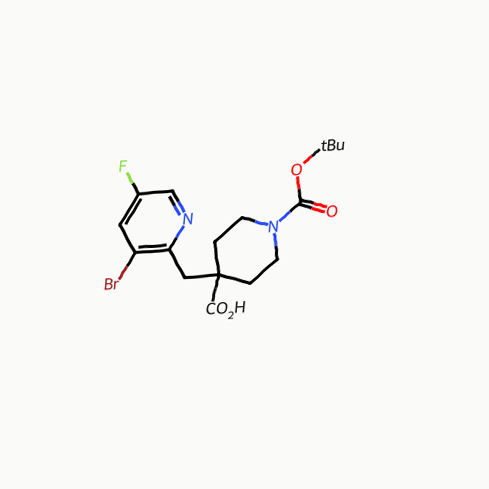 CC(C)(C)OC(=O)N1CCC(Cc2ncc(F)cc2Br)(C(=O)O)CC1